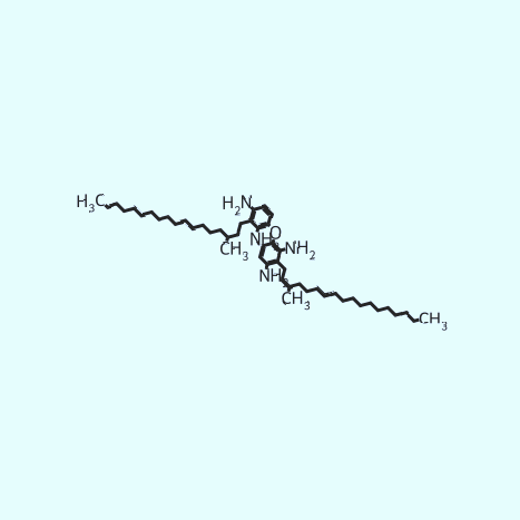 CCCCCCCCCCCCCCCC(C)CCc1c(N)ccc(Oc2ccc(N)c(CCC(C)CCCCCCCCCCCCCCC)c2N)c1N